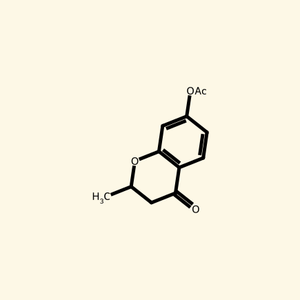 CC(=O)Oc1ccc2c(c1)OC(C)CC2=O